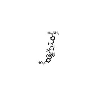 N=C(N)c1ccc(CNC(=O)CNC(=O)[C@@H](CO)NS(=O)(=O)Cc2ccc(C(=O)O)cc2)cc1